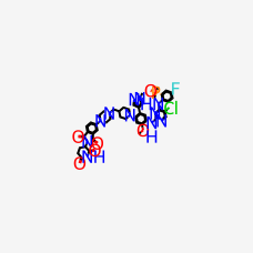 COc1cc(N2CCC(CN3CCN(c4ccc5c(c4)C(=O)N(C4CCC(=O)NC4=O)C5=O)CC3)CC2)c(-c2cnn(C)c2)cc1Nc1ncc(Cl)c(Nc2ccc(F)cc2P(C)(C)=O)n1